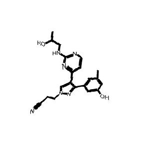 Cc1cc(O)cc(-c2nn(CCC#N)cc2-c2ccnc(NCC(C)O)n2)c1